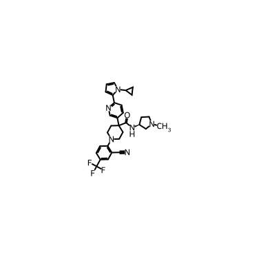 CN1CC[C@H](NC(=O)C2(c3ccc(-c4cccn4C4CC4)nc3)CCN(c3ccc(C(F)(F)F)cc3C#N)CC2)C1